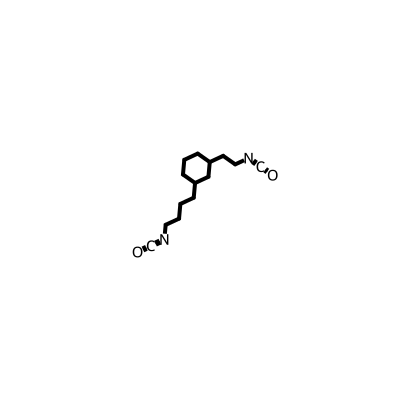 O=C=NCCCCC1CCCC(CCN=C=O)C1